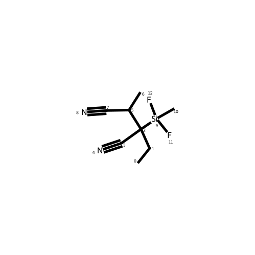 CCC(C#N)(C(C)C#N)[Si](C)(F)F